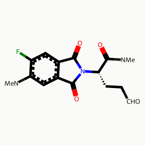 CNC(=O)[C@H](CCC=O)N1C(=O)c2cc(F)c(NC)cc2C1=O